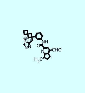 CC1CCc2c(C=O)cc(C(=O)Nc3cccc(C4(Cc5nncn5C)CC5(CCC5)C4)c3)nc21